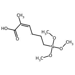 CO[Si](CC[CH]C=C(C)C(=O)O)(OC)OC